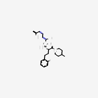 C=C(Cl)/C=C\C=C(/CC)S(=O)(=O)NC(CCc1ccccc1Cl)C(=O)N1CCC(C)CC1